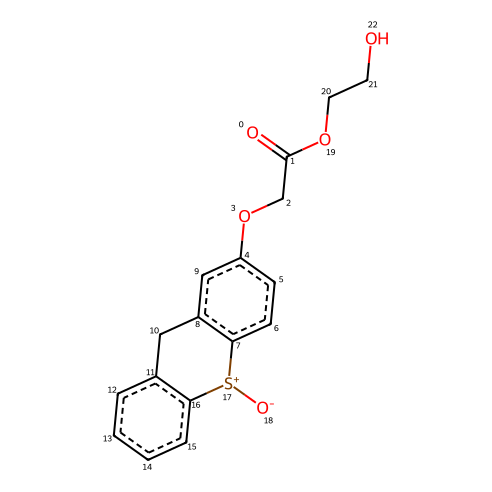 O=C(COc1ccc2c(c1)Cc1ccccc1[S+]2[O-])OCCO